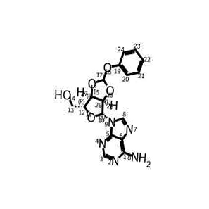 Nc1ncnc2c1ncn2[C@@H]1O[C@H](CO)[C@H]2OC(Oc3ccccc3)O[C@H]21